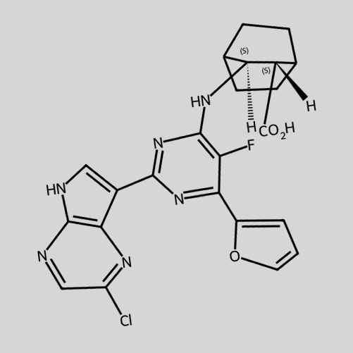 O=C(O)[C@H]1C2CCC(CC2)[C@@H]1Nc1nc(-c2c[nH]c3ncc(Cl)nc23)nc(-c2ccco2)c1F